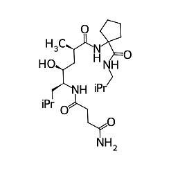 CC(C)CNC(=O)C1(NC(=O)[C@H](C)C[C@H](O)[C@H](CC(C)C)NC(=O)CCC(N)=O)CCCC1